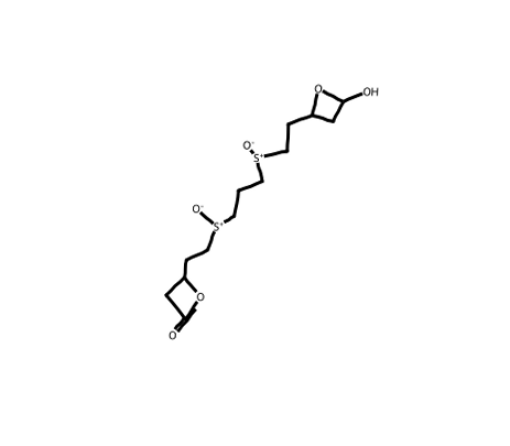 O=C1CC(CC[S+]([O-])CCC[S+]([O-])CCC2CC(O)O2)O1